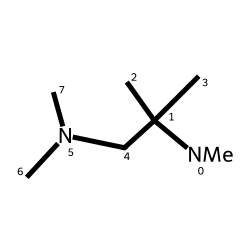 CNC(C)(C)CN(C)C